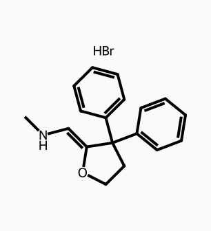 Br.CNC=C1OCCC1(c1ccccc1)c1ccccc1